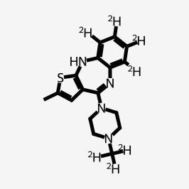 [2H]c1c([2H])c([2H])c2c(c1[2H])N=C(N1CCN(C([2H])([2H])[2H])CC1)c1cc(C)sc1N2